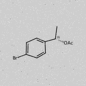 CC(=O)O[C@@H](C)c1ccc(Br)cc1